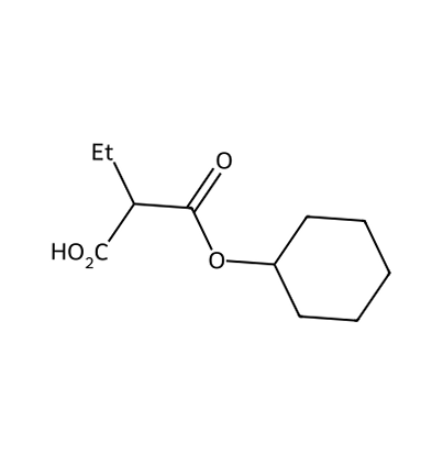 CCC(C(=O)O)C(=O)OC1CCCCC1